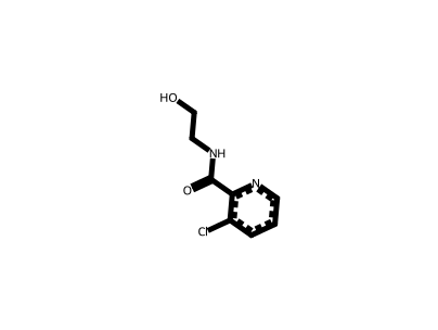 O=C(NCCO)c1ncccc1Cl